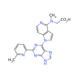 Cc1cccc(-c2nc(-n3ccc4c(N(C)CC(=O)O)nccc43)c3nc[nH]c3n2)n1